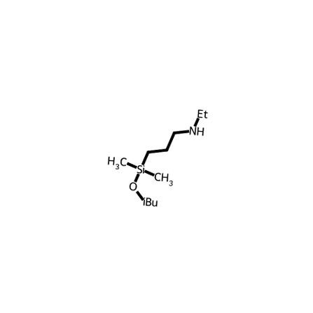 CCNCCC[Si](C)(C)OC(C)CC